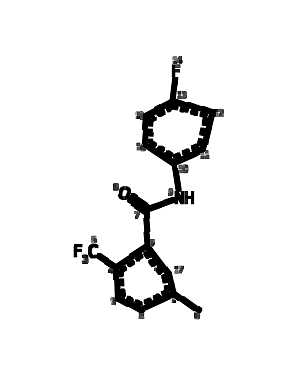 Cc1ccc(C(F)(F)F)c(C(=O)Nc2ccc(F)cc2)c1